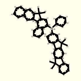 CC1(C)c2ccccc2-c2cc3c(cc21)-c1ccc(N(c2ccccc2)c2cc4c(c5ccccc25)-c2cc5ccccc5cc2C4(C)C)cc1C3(C)C